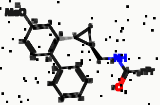 CCCC(=O)NC[C@@H]1C[C@H]1c1cc(OC)ccc1-c1ccccc1